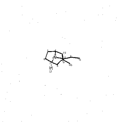 CCCN1C2CC[C@@H]1CC(C)C2